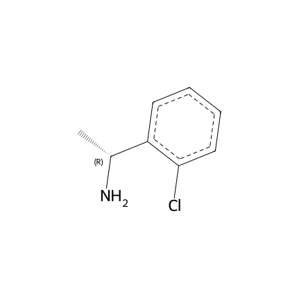 C[C@@H](N)c1ccccc1Cl